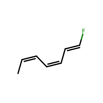 C\C=C/C=C\C=C\F